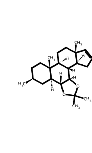 C[C@H]1CC[C@@]2(C)[C@H](C1)[C@H]1OC(C)(C)O[C@@H]1[C@@H]1[C@@H]2CC[C@]2(C)C=CC[C@@H]12